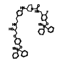 CC(C)(C)[Si](Oc1ccc(OC[C@@H](O)CNCCc2ccc(NC3CCN(C(=O)NCc4ccc(O[Si](c5ccccc5)(c5ccccc5)C(C)(C)C)cc4F)CC3)cc2)cc1)(c1ccccc1)c1ccccc1